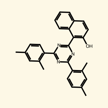 Cc1ccc(-c2nc(-c3ccc(C)cc3C)nc(-c3c(O)ccc4ccccc34)n2)c(C)c1